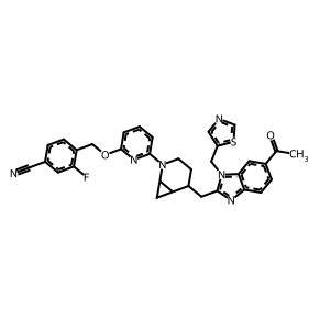 CC(=O)c1ccc2nc(CC3CCN(c4cccc(OCc5ccc(C#N)cc5F)n4)C4CC34)n(Cc3cncs3)c2c1